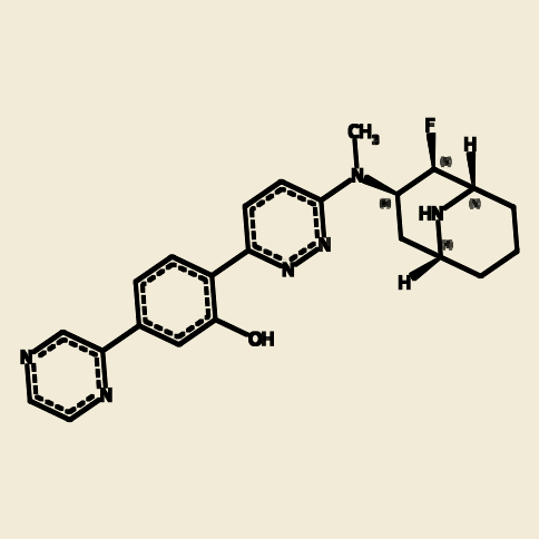 CN(c1ccc(-c2ccc(-c3cnccn3)cc2O)nn1)[C@@H]1C[C@H]2CCC[C@H](N2)[C@@H]1F